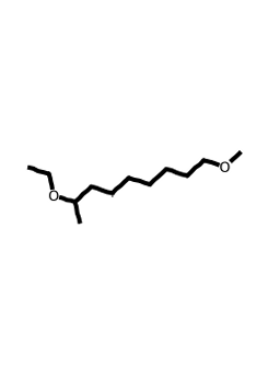 CCOC(C)C[CH]CCCCCOC